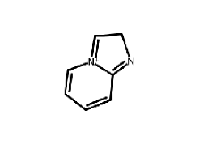 C1=[n+]2ccccc2=NC1